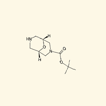 CC(C)(C)OC(=O)N1C[C@H]2CNC[C@@H](C1)O2